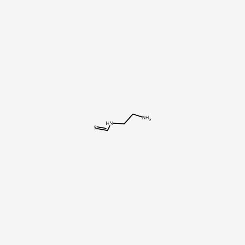 NCCNC=S